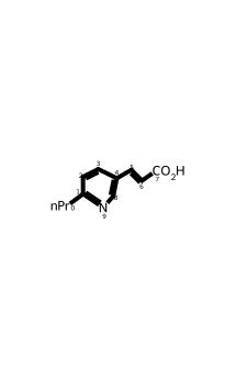 CCCc1ccc(/C=C/C(=O)O)cn1